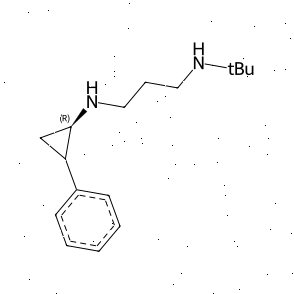 CC(C)(C)NCCCN[C@@H]1CC1c1ccccc1